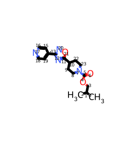 CC(C)COC(=O)N1CCC(c2nc(-c3ccncc3)no2)CC1